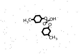 CC1CCC(OP(=O)(O)OC2CCCC(C)C2)CC1